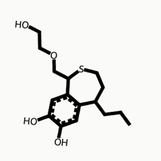 CCCC1CCSC(COCCO)c2cc(O)c(O)cc21